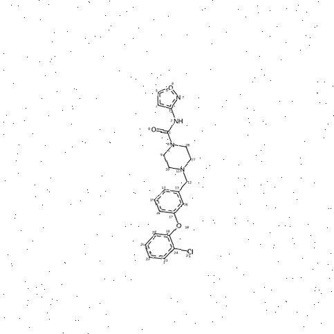 O=C(Nc1ccon1)N1CCN(Cc2cccc(Oc3ccccc3Cl)c2)CC1